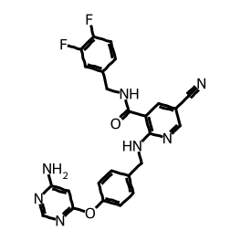 N#Cc1cnc(NCc2ccc(Oc3cc(N)ncn3)cc2)c(C(=O)NCc2ccc(F)c(F)c2)c1